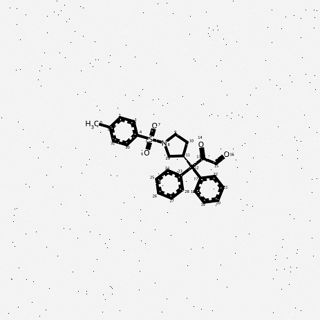 Cc1ccc(S(=O)(=O)N2CC[C@@H](C(C(=O)C=O)(c3ccccc3)c3ccccc3)C2)cc1